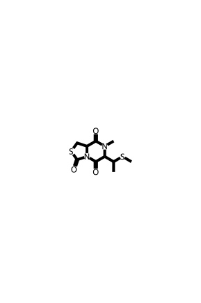 CSC(C)C1C(=O)N2C(=O)SCC2C(=O)N1C